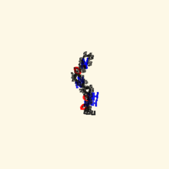 CN1CC2CCC(C1)N2CCCOc1ccc2nc(-c3ccc(NC(=O)Nc4cc(C(C)(C)C)on4)cc3)cn2c1